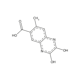 Cc1cc2nc(O)c(O)nc2cc1C(=O)O